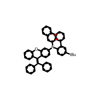 CC(C)(C)c1ccc(N(c2ccc3c(c2)Oc2ccccc2C3=C(c2ccccc2)c2ccccc2)c2ccc3ccccc3c2)c(-c2ccccc2)c1